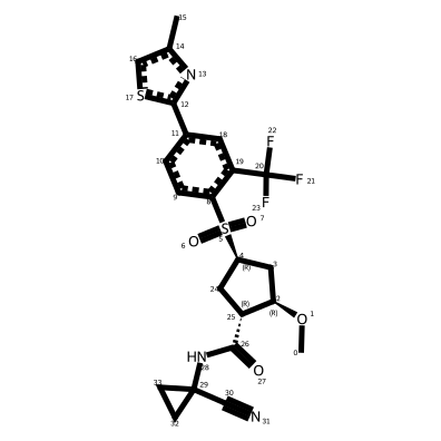 CO[C@@H]1C[C@H](S(=O)(=O)c2ccc(-c3nc(C)cs3)cc2C(F)(F)F)C[C@H]1C(=O)NC1(C#N)CC1